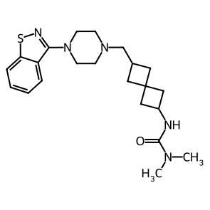 CN(C)C(=O)NC1CC2(CC(CN3CCN(c4nsc5ccccc45)CC3)C2)C1